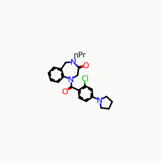 CCCN1Cc2ccccc2N(C(=O)c2ccc(N3CCCC3)cc2Cl)CC1=O